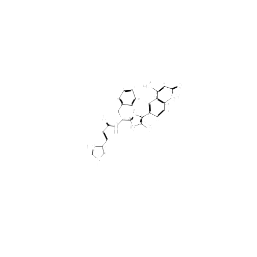 O=C(/C=C/C1CNCN1)N[C@@H](Cc1ccccc1)c1nc(-c2ccc3[nH]c(=O)cc(O)c3c2)c(Cl)[nH]1